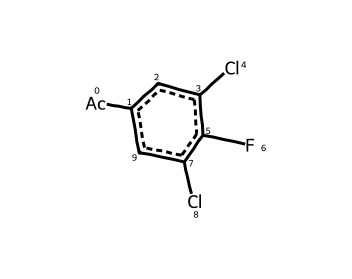 CC(=O)c1cc(Cl)c(F)c(Cl)c1